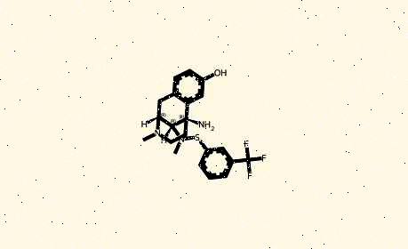 CN1CC[C@@]2(N)c3cc(O)ccc3C[C@@H]1[C@H]2N(C)Sc1cccc(C(F)(F)F)c1